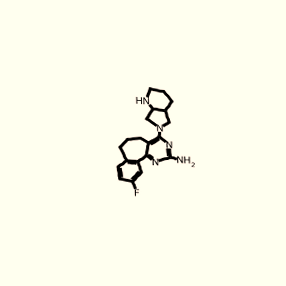 Nc1nc2c(c(N3CC4CCCNC4C3)n1)CCCc1ccc(F)cc1-2